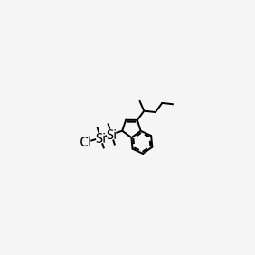 CCCC(C)C1=CC([Si](C)(C)[Si](C)(C)Cl)c2ccccc21